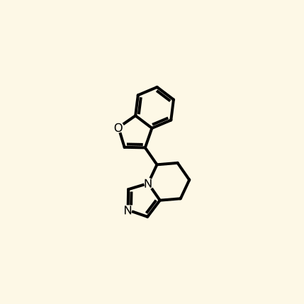 c1ccc2c(C3CCCc4cncn43)coc2c1